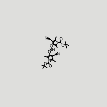 Cc1c(C#N)c(OBOc2c(C#N)c(C)n(C(=O)OC(C)(C)C)c2C)c(C)n1C(=O)OC(C)(C)C